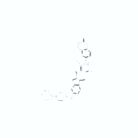 C=C1C(C(=O)/C(C=N)=C(\N)Nc2ccc3c(c2)NC(C)C(=C)C3)=Cc2cc(C(=O)C3CCC(N4CCCCC4)CC3)ccc21